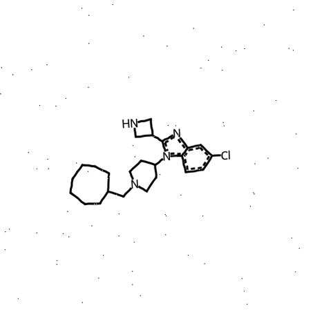 Clc1ccc2c(c1)nc(C1CNC1)n2C1CCN(CC2CCCCCCC2)CC1